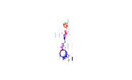 Cc1ncccc(C(=O)NCCC#CNC(=O)COC2CC3=C(Cl)C(F)=C2CC3)ccnc1C